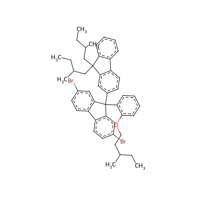 CCC(C)CCOc1ccccc1C1(c2ccc3c(c2)C(CC(C)CC)(CC(C)CC)c2ccccc2-3)c2cc(Br)ccc2-c2ccc(Br)cc21